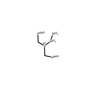 CCCCCCC[SiH](CCCCCCC)[SiH2][SiH3]